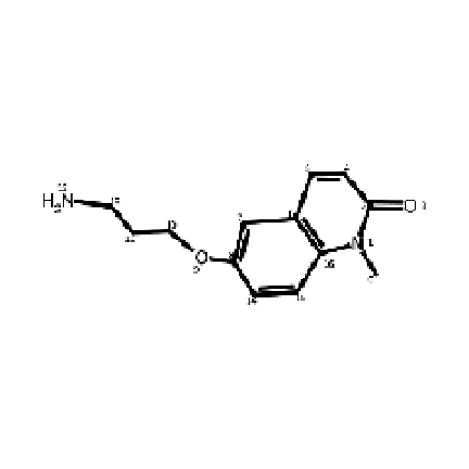 Cn1c(=O)ccc2cc(OCCCN)ccc21